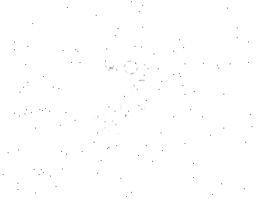 N#[N+]c1ccc([N+](=O)[O-])c(C(=O)NCCNC2CCC(CN(P(=O)(O)O)P(=O)(O)O)O2)c1